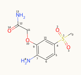 CS(=O)(=O)c1ccc(N)c(OCC(N)=O)c1